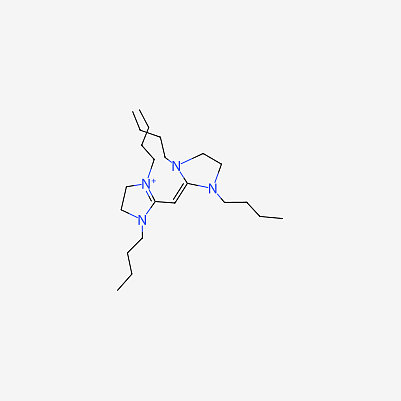 CCCCN1CCN(CCCC)C1=CC1=[N+](CCCC)CCN1CCCC